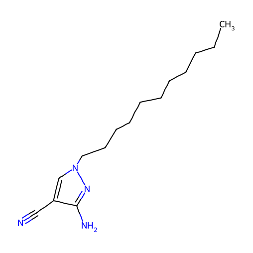 CCCCCCCCCCCn1cc(C#N)c(N)n1